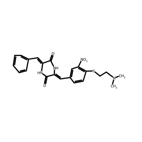 CN(C)CCSc1ccc(C=c2[nH]c(=O)c(=Cc3ccccc3)[nH]c2=O)cc1[N+](=O)[O-]